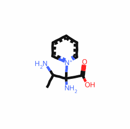 CC(N)C(N)(C(=O)O)[n+]1ccccc1